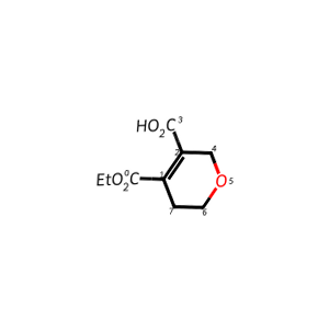 CCOC(=O)C1=C(C(=O)O)COCC1